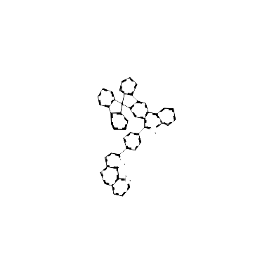 c1ccc2c(c1)-c1ccccc1C21c2ccccc2-c2cc3c(cc21)c(-c1ccc(-c2ccc4ccc5cccnc5c4n2)cc1)nc1ccccc13